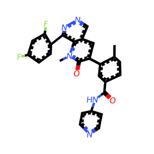 Cc1ccc(C(=O)Nc2ccncc2)cc1-c1cc2cnnc(-c3ccc(F)cc3F)c2n(C)c1=O